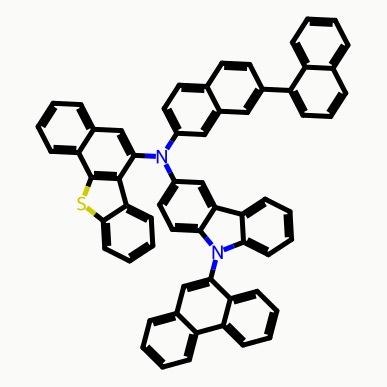 c1ccc2c(-c3ccc4ccc(N(c5ccc6c(c5)c5ccccc5n6-c5cc6ccccc6c6ccccc56)c5cc6ccccc6c6sc7ccccc7c56)cc4c3)cccc2c1